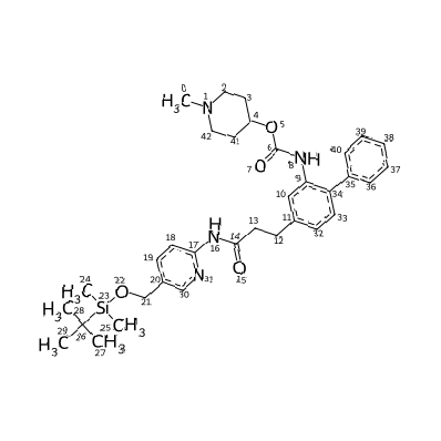 CN1CCC(OC(=O)Nc2cc(CCC(=O)Nc3ccc(CO[Si](C)(C)C(C)(C)C)cn3)ccc2-c2ccccc2)CC1